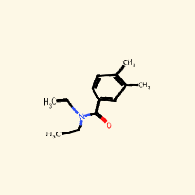 CCN(CC)C(=O)c1ccc(C)c(C)c1